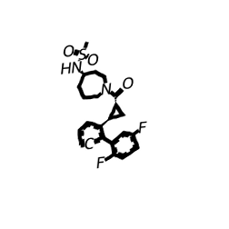 CS(=O)(=O)N[C@@H]1CCCN(C(=O)[C@@H]2C[C@H]2c2ccccc2-c2cc(F)ccc2F)CC1